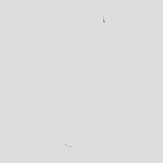 O=C1CCCC(CCCCOCCCOCCCCC2CCCC(=O)O2)O1